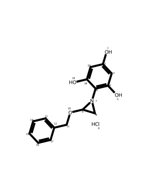 Cl.Oc1cc(O)c(N2CC2OCc2ccccc2)c(O)c1